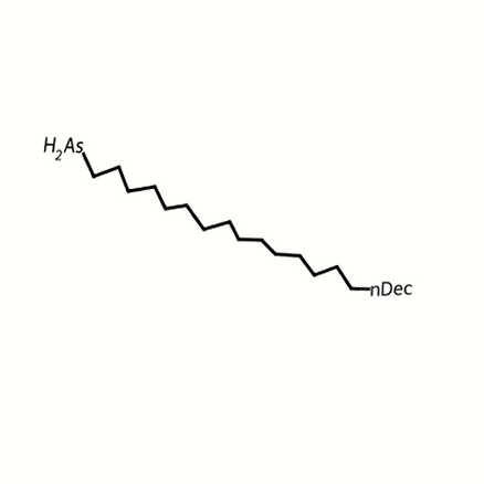 CCCCCCCCCCCCCCCCCCCCCCCCC[AsH2]